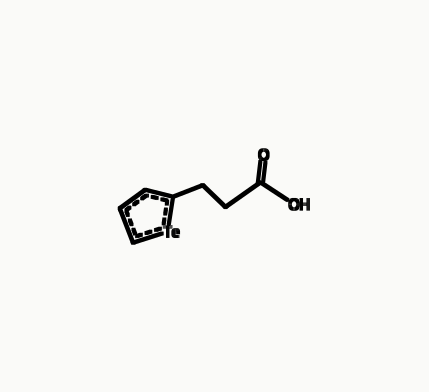 O=C(O)CCc1ccc[te]1